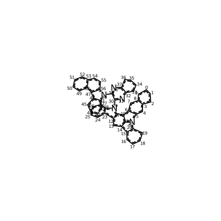 c1ccc2cc3c(cc2c1)c1c2c(cc4c5ccccc5n3c41)c1ccccc1n2-c1nc2ccccc2nc1-n1c2ccccc2c2c3ccccc3ccc21